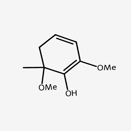 COC1=C(O)C(C)(OC)CC=C1